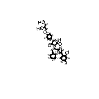 O=C1N[C@H](c2ccc(OC[C@@H](O)CO)cc2)C(=O)N1[C@@H](Cc1ccccc1)c1ncc(-c2ccc(I)cc2Cl)[nH]1